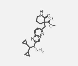 COC(=O)C1(Cc2ccc3nc([C@@H](N)C(C4CC4)C4CC4)cn3n2)CCCNC1=O